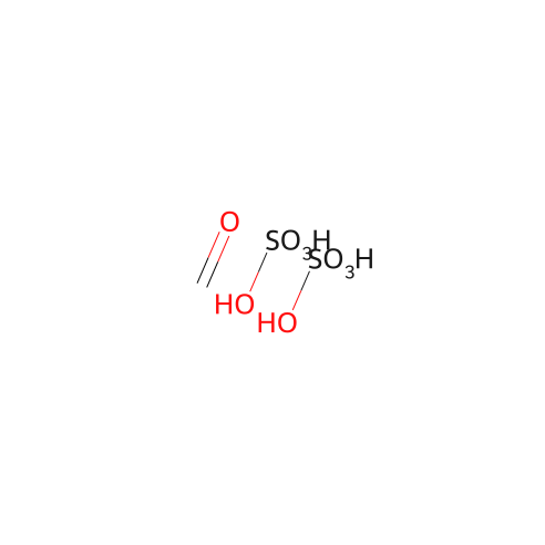 C=O.O=S(=O)(O)O.O=S(=O)(O)O